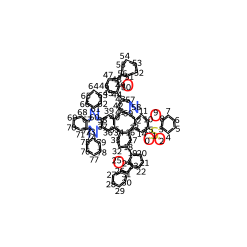 O=S1(=O)c2ccccc2Oc2cc3c(cc21)c1cc(-c2cccc4c2oc2ccccc24)ccc1c1cc2c(cc1c1cc(-c4cccc5c4oc4ccccc45)cnc13)n(-c1ccccc1)c1ccccc1n2-c1ccccc1